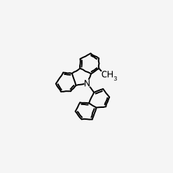 Cc1cccc2c3ccccc3n(-c3cccc4ccccc34)c12